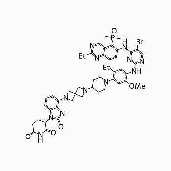 CCc1ncc2c(P(C)(C)=O)c(Nc3nc(Nc4cc(CC)c(N5CCC(N6CC7(CN(c8cccc9c8n(C)c(=O)n9C8CCC(=O)NC8=O)C7)C6)CC5)cc4OC)ncc3Br)ccc2n1